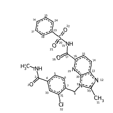 CNC(=O)c1ccc(Cn2c(C)nc3ccc(C(=O)NS(=O)(=O)c4ccccc4)nc32)c(Cl)c1